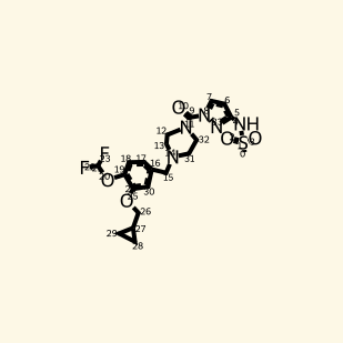 CS(=O)(=O)Nc1ccn(C(=O)N2CCN(Cc3ccc(OC(F)F)c(OCC4CC4)c3)CC2)n1